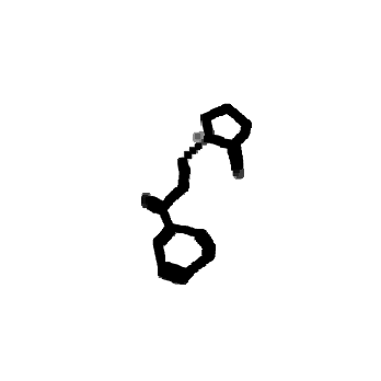 O=C(CC[C@@H]1CCCC1=O)c1ccccc1